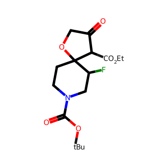 CCOC(=O)C1C(=O)COC12CCN(C(=O)OC(C)(C)C)CC2F